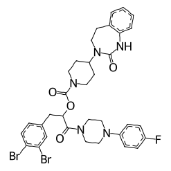 O=C(OC(Cc1ccc(Br)c(Br)c1)C(=O)N1CCN(c2ccc(F)cc2)CC1)N1CCC(N2CCc3ccccc3NC2=O)CC1